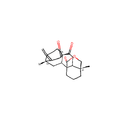 C=C1C(=O)[C@]23CC[C@H]1CC2C12CCC[C@@](C)(COC1=O)C2CC3=O